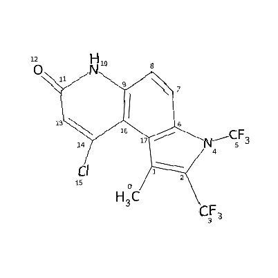 Cc1c(C(F)(F)F)n(C(F)(F)F)c2ccc3[nH]c(=O)cc(Cl)c3c12